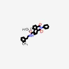 Cc1cccc(CCNC(=O)c2ccc3c4c(ccc(C(=O)O)c24)C(=O)N(c2ccccc2)C3=O)c1